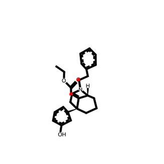 CCOC(=O)/C=C1\[C@H]2CCC[C@]1(c1cccc(O)c1)CCN2CCc1ccccc1